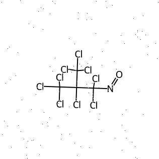 O=NC(Cl)(Cl)C(Cl)(C(Cl)(Cl)Cl)C(Cl)(Cl)Cl